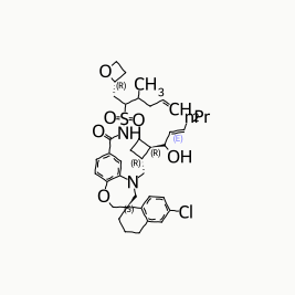 C=CCC(C)C(C[C@H]1CCO1)S(=O)(=O)NC(=O)c1ccc2c(c1)N(C[C@@H]1CC[C@H]1C(O)/C=C/CCC)C[C@@]1(CCCc3cc(Cl)ccc31)CO2